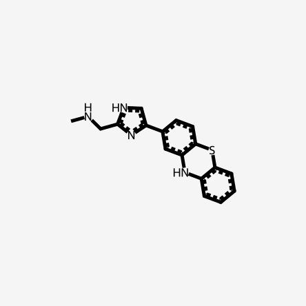 CNCc1nc(-c2ccc3c(c2)Nc2ccccc2S3)c[nH]1